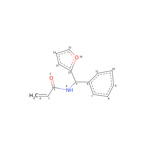 C=CC(=O)NC(c1ccccc1)c1ccco1